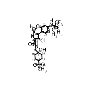 CCn1nc(C(=O)NCC2(O)CCC(S(C)(=O)=O)CC2)c(Cl)c1-c1cnc(NC(C)(C)C(F)(F)F)cc1C